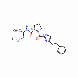 O=CC(CC(=O)O)NC(=O)[C@@H]1CCCN1C(=O)c1nc(CCc2ccccc2)c[nH]1